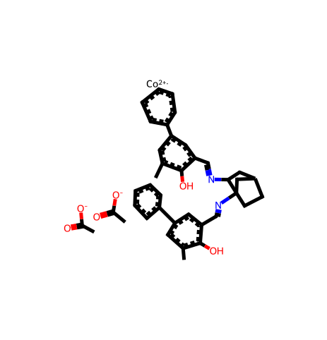 CC(=O)[O-].CC(=O)[O-].Cc1cc(-c2ccccc2)cc(C=NC2CC3CCC2(N=Cc2cc(-c4ccccc4)cc(C)c2O)C3)c1O.[Co+2]